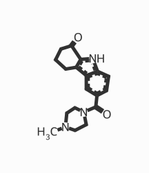 CN1CCN(C(=O)c2ccc3[nH]c4c(c3c2)CCCC4=O)CC1